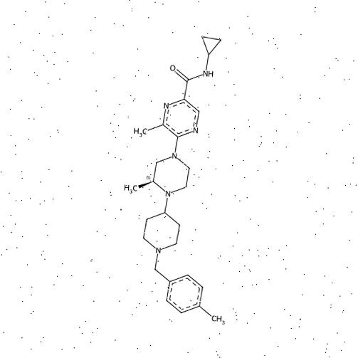 Cc1ccc(CN2CCC(N3CCN(c4ncc(C(=O)NC5CC5)nc4C)C[C@@H]3C)CC2)cc1